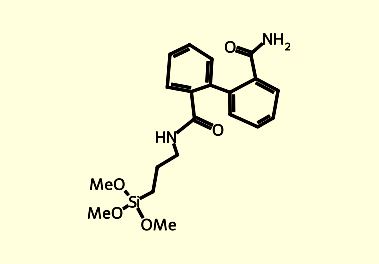 CO[Si](CCCNC(=O)c1ccccc1-c1ccccc1C(N)=O)(OC)OC